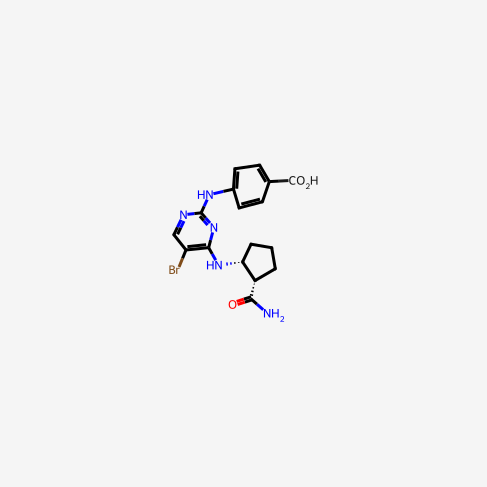 NC(=O)[C@H]1CCC[C@H]1Nc1nc(Nc2ccc(C(=O)O)cc2)ncc1Br